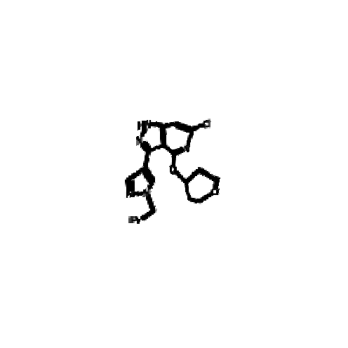 CC(C)Cn1cc(-c2n[nH]c3cc(Cl)nc(OC4CCOCC4)c23)cn1